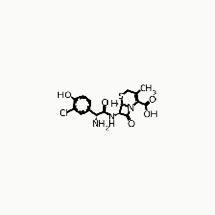 CC1=C(C(=O)O)N2C(=O)[C@@H](NC(=O)[C@@H](N)c3ccc(O)c(Cl)c3)[C@H]2SC1